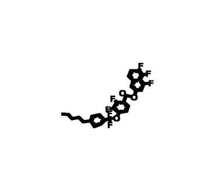 CCCCCc1ccc(C(F)(F)Oc2ccc(C(=O)Oc3cc(F)c4c(F)c(F)ccc4c3)c(F)c2F)cc1